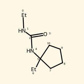 CCNC(=O)NC1(CC)CCCC1